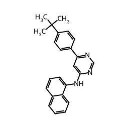 CC(C)(C)c1ccc(-c2cc(Nc3cccc4ccccc34)ncn2)cc1